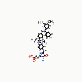 Cc1ccc(/C(=C/c2ccc(C(C)(C)Nc3ccc(/C=C4\N=C(SCC(=O)O)NC4=O)cc3)cc2)c2ccccc2)cc1C